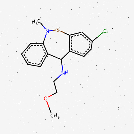 COCCNC1c2ccc(Cl)cc2SN(C)c2ccccc21